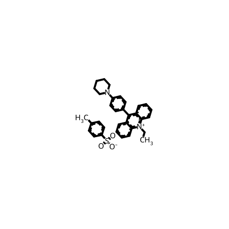 CC[n+]1c2ccccc2c(-c2ccc(N3CCCCC3)cc2)c2ccccc21.Cc1ccc(S(=O)(=O)[O-])cc1